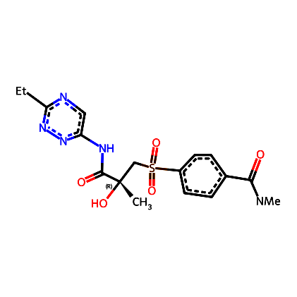 CCc1ncc(NC(=O)[C@@](C)(O)CS(=O)(=O)c2ccc(C(=O)NC)cc2)nn1